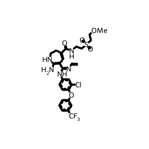 C=C/N=C(/Nc1ccc(Oc2cccc(C(F)(F)F)c2)c(Cl)c1)C1=C(N)NCCC(C(=O)NCCS(=O)(=O)CCOC)=C1